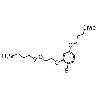 COCCCOc1ccc(Br)c(OCCOSCCC[SiH3])c1